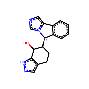 OC1c2[nH]ncc2CCC1[C@@H]1c2ccccc2-c2cncn21